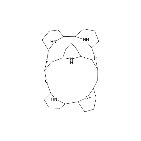 C1CC2CC3CC4CCCC(N4)C4CCCC(CC(CC(C1)N2)CC1CCCC(N1)C1CCCC(C3)N1)N4